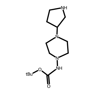 CC(C)(C)OC(=O)NN1CCN(C2CCNC2)CC1